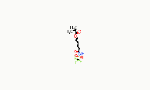 C=C(C)C(=O)OCCCCCC(=O)NS(=O)(=O)C(F)(F)F